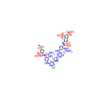 C=CS(=O)(=O)c1ccc(/N=N/c2ccc(Nc3nc(Cl)nc(NC(C)CNc4nc(F)nc(Nc5ccc(/N=N/c6cc7c(S(=O)(=O)O)cc(S(=O)(=O)O)cc7cc6S(=O)(=O)O)c(NC(N)=O)c5)n4)n3)cc2NC(N)=O)c(S(=O)(=O)O)c1